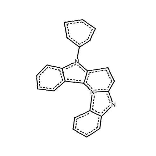 c1ccc(-n2c3ccccc3c3c2ccc2nc4ccccc4n23)cc1